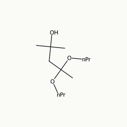 CCCOC(C)(CC(C)(C)O)OCCC